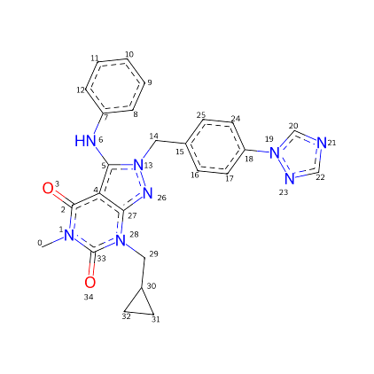 Cn1c(=O)c2c(Nc3ccccc3)n(Cc3ccc(-n4cncn4)cc3)nc2n(CC2CC2)c1=O